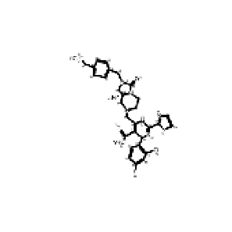 COC(=O)C1=C(CN2CCN3C(=O)N(Cc4ccc(CC(=O)O)cc4)C[C@@H]3C2)NC(c2nccs2)=NC1c1ccc(F)cc1Cl